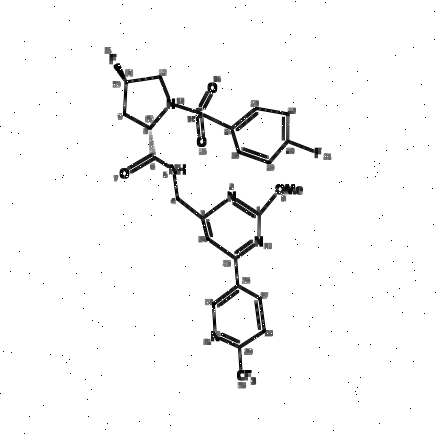 COc1nc(CNC(=O)[C@@H]2C[C@@H](F)CN2S(=O)(=O)c2ccc(F)cc2)cc(-c2ccc(C(F)(F)F)nc2)n1